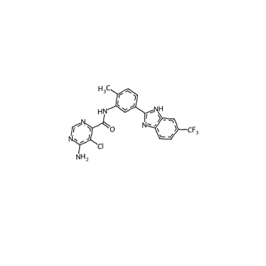 Cc1ccc(-c2nc3ccc(C(F)(F)F)cc3[nH]2)cc1NC(=O)c1ncnc(N)c1Cl